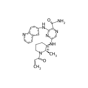 C=CC(=O)N1CCC[C@@H](Nc2cnc(C(N)=O)c(Nc3ccc4ncccc4c3)n2)[C@H]1C